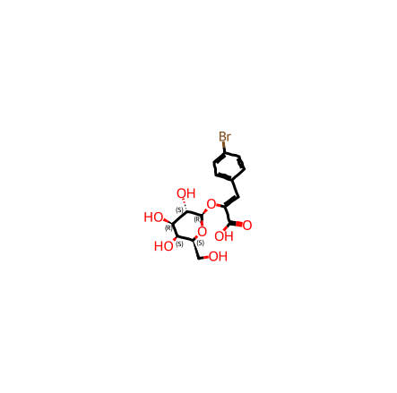 O=C(O)C(=Cc1ccc(Br)cc1)O[C@H]1O[C@@H](CO)[C@@H](O)[C@@H](O)[C@@H]1O